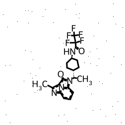 Cc1nc2cccc3n(C(C)[C@H]4CC[C@H](NC(=O)C(F)(F)C(F)(F)F)CC4)c(=O)c1n23